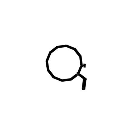 O=[C]N1CCCCCCCCCCN1